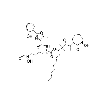 CCCCCCCCCC(OC(=O)[C@H](CCCCN(O)C=O)NC(=O)c1nc(-c2ccccc2O)oc1C)C(C)(C)C(=O)NC1CCCCN(O)C1=O